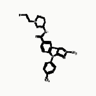 Cn1cc2c3cc(C(=O)NC4CCCN(CCF)C4)ccc3n(-c3ccc(C(F)(F)F)cc3)c2n1